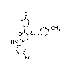 Cc1ccc(CS/C(=C/c2c[nH]c3ccc(Br)cc23)C(=O)c2ccc(Cl)cc2)cc1